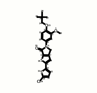 COc1cc(N2Cc3cc(-c4ccc(Cl)s4)sc3C2=O)ccc1OCC(C)(C)C